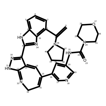 C=C(c1cccc2[nH]c(-c3n[nH]c4c3=CC(c3cncc(NC(=O)N5CCOCC5)c3)=CCN=4)nc12)N1CCCC1